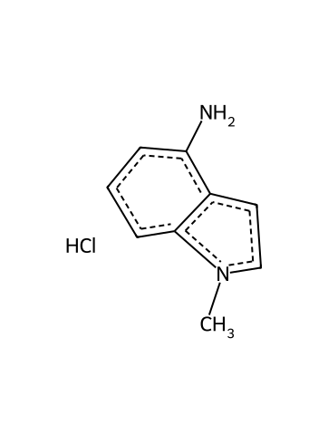 Cl.Cn1ccc2c(N)cccc21